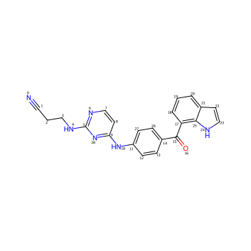 N#CCCNc1nccc(Nc2ccc(C(=O)c3cccc4cc[nH]c34)cc2)n1